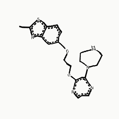 Cc1nc2cc(OCCOc3nccnc3N3CCNCC3)ccc2s1